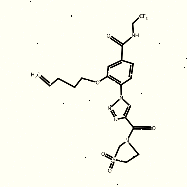 C=CCCCOc1cc(C(=O)NCC(F)(F)F)ccc1-n1cc(C(=O)N2CCS(=O)(=O)C2)nn1